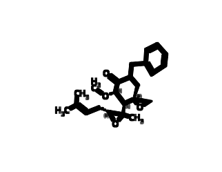 CO[C@@H]1C(=O)C(Cc2ccccc2)C[C@]2(CO2)[C@H]1C1(C)O[C@@H]1CC=C(C)C